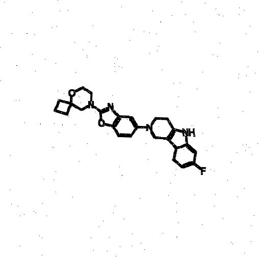 FC1=CCC2C(=C1)NC1=C2CN(c2ccc3oc(N4CCOC5(CCC5)C4)nc3c2)CC1